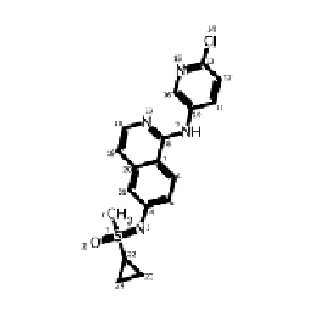 CS(=O)(=Nc1ccc2c(Nc3ccc(Cl)nc3)nccc2c1)C1CC1